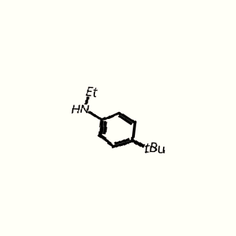 CCNc1ccc(C(C)(C)C)cc1